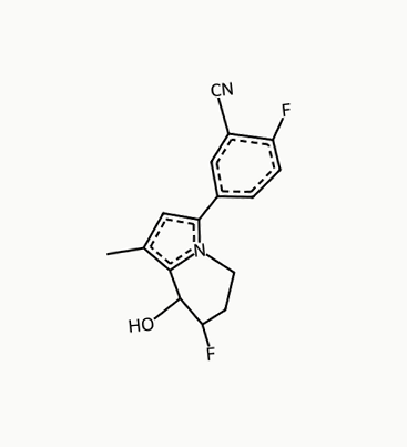 Cc1cc(-c2ccc(F)c(C#N)c2)n2c1C(O)C(F)CC2